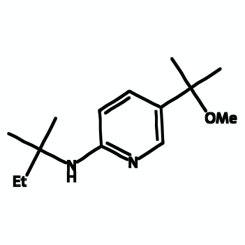 CCC(C)(C)Nc1ccc(C(C)(C)OC)cn1